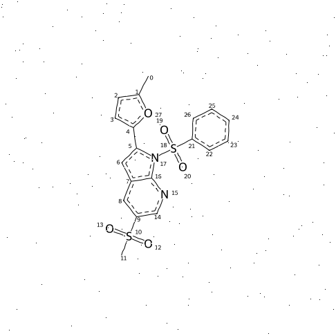 Cc1ccc(-c2cc3cc(S(C)(=O)=O)cnc3n2S(=O)(=O)c2ccccc2)o1